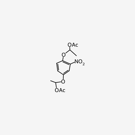 CC(=O)OC(C)Oc1ccc(OC(C)OC(C)=O)c([N+](=O)[O-])c1